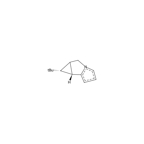 CC(C)(C)[C@@H]1C2Cn3cccc3[C@@H]21